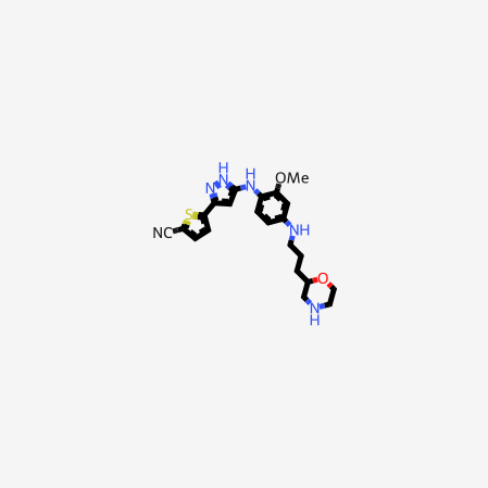 COc1cc(NCCCC2CNCCO2)ccc1Nc1cc(-c2ccc(C#N)s2)n[nH]1